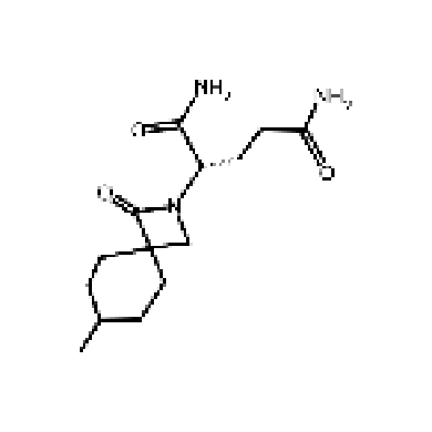 CC1CCC2(CC1)CN([C@@H](CCC(N)=O)C(N)=O)C2=O